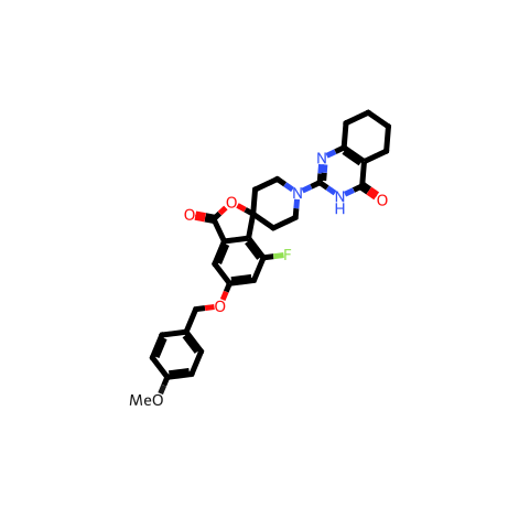 COc1ccc(COc2cc(F)c3c(c2)C(=O)OC32CCN(c3nc4c(c(=O)[nH]3)CCCC4)CC2)cc1